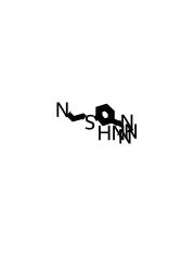 N#CCCSc1cccc(-c2nnn[nH]2)c1